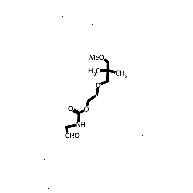 COCC(C)(C)COCCOC(=O)NCC=O